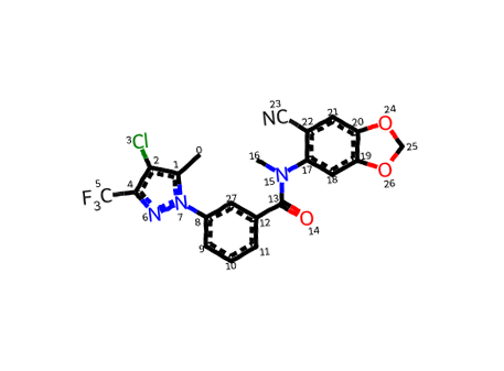 Cc1c(Cl)c(C(F)(F)F)nn1-c1cccc(C(=O)N(C)c2cc3c(cc2C#N)OCO3)c1